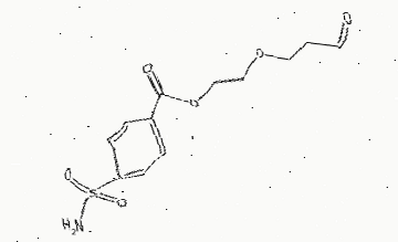 NS(=O)(=O)c1ccc(C(=O)OCCOCCC=O)cc1